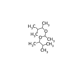 C[C](OC(C)C(C)C)OC(C)C(C)C